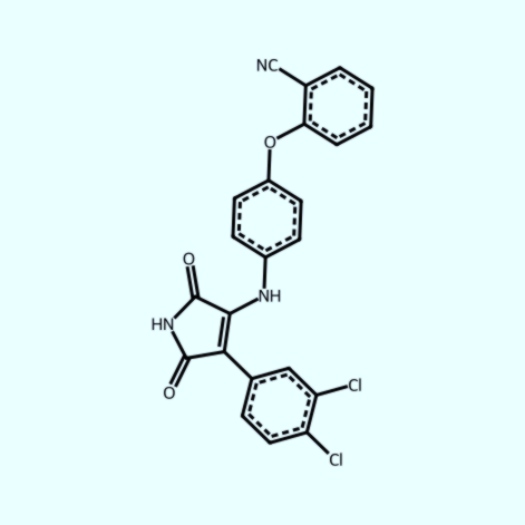 N#Cc1ccccc1Oc1ccc(NC2=C(c3ccc(Cl)c(Cl)c3)C(=O)NC2=O)cc1